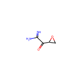 N=C(N)C(=O)C1CO1